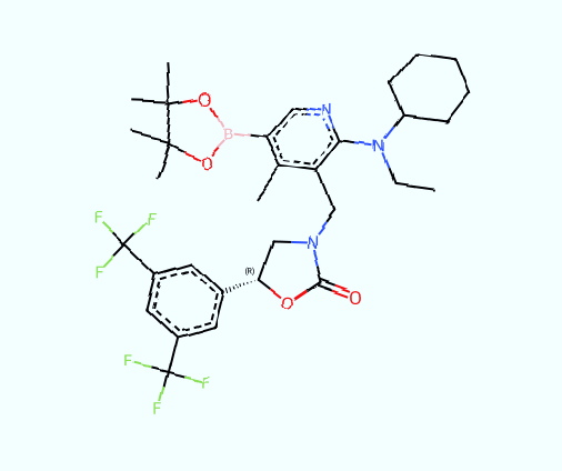 CCN(c1ncc(B2OC(C)(C)C(C)(C)O2)c(C)c1CN1C[C@@H](c2cc(C(F)(F)F)cc(C(F)(F)F)c2)OC1=O)C1CCCCC1